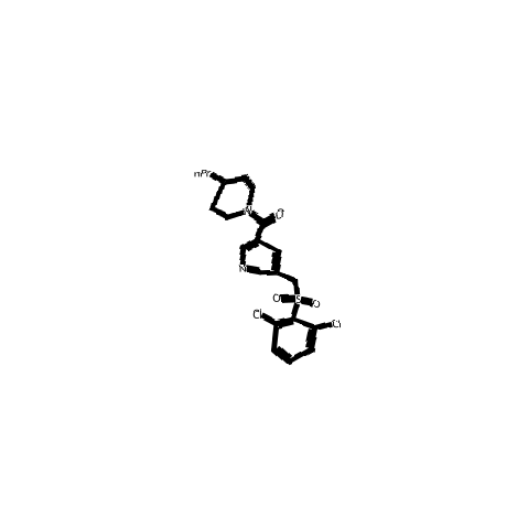 CCCC1CCN(C(=O)c2cncc(CS(=O)(=O)c3c(Cl)cccc3Cl)c2)CC1